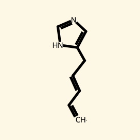 [CH]=CC=CCc1cnc[nH]1